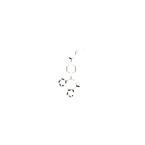 CCOC(=O)N1CCN(C2NC(=O)c3sccc3-n3cccc32)CC1